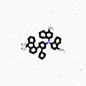 Cc1ccc(N(c2ccc(-c3cccc4c3-c3ccccc3C4(C)C)c(-c3ccccc3)c2)c2ccc(C)c3ccccc23)c2ccccc12